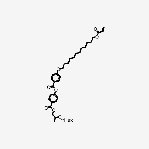 C=CC(=O)OCCCCCCCCCCCCOc1ccc(C(=O)Oc2ccc(C(=O)OCC(C)OCCCCCC)cc2)cc1